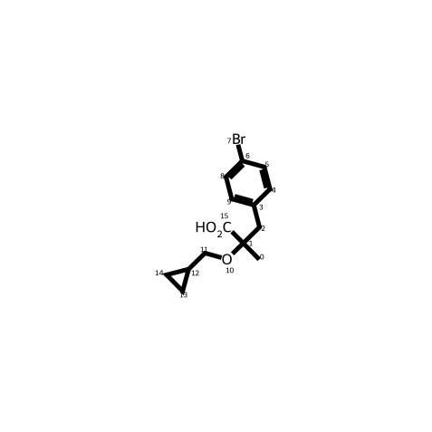 CC(Cc1ccc(Br)cc1)(OCC1CC1)C(=O)O